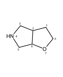 C1CC2CNCC2O1